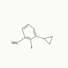 O=[C]c1cccc(C2CC2)c1F